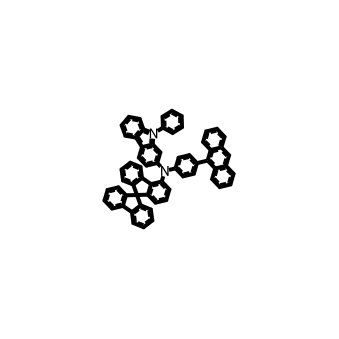 c1ccc(-n2c3ccccc3c3ccc(N(c4ccc(-c5c6ccccc6cc6ccccc56)cc4)c4cccc5c4-c4ccccc4C54c5ccccc5-c5ccccc54)cc32)cc1